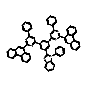 c1ccc(-c2cc(-c3cc(-c4cc(-c5ccccc5)nc(-c5cc6ccccc6c6ccccc56)n4)cc(-c4nc5ccccc5n4-c4ccccc4)c3)nc(-c3cc4ccccc4c4ccccc34)n2)cc1